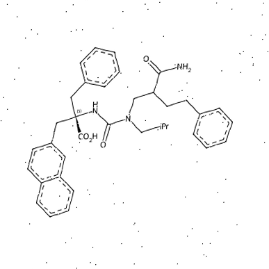 CC(C)CN(CC(CCc1ccccc1)C(N)=O)C(=O)N[C@@](Cc1ccccc1)(Cc1ccc2ccccc2c1)C(=O)O